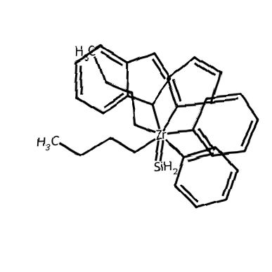 CCC[CH2][Zr](=[SiH2])([CH2]CCC)([C]1=CC=CC1)([c]1ccccc1)([c]1ccccc1)[CH]1C=Cc2ccccc21